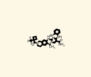 COc1cc2c(cc1Nc1ncc(C(N)=O)c(Nc3ccccc3Br)n1)CN(C(=O)C1(C(F)(F)F)CCC1)CC2